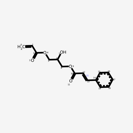 C=CC(=O)OCC(O)COC(=O)/C=C/c1ccccc1